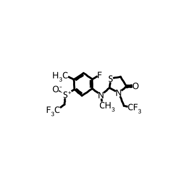 Cc1cc(F)c(N(C)C2SCC(=O)N2CC(F)(F)F)cc1[S@@+]([O-])CC(F)(F)F